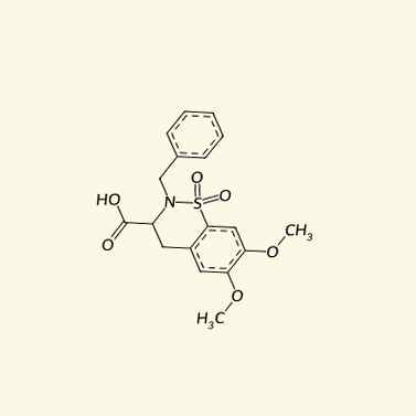 COc1cc2c(cc1OC)S(=O)(=O)N(Cc1ccccc1)C(C(=O)O)C2